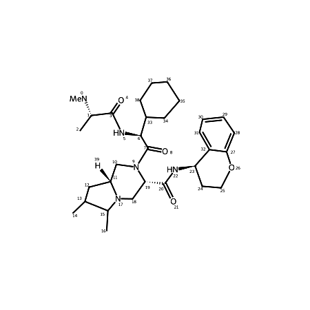 CN[C@@H](C)C(=O)N[C@H](C(=O)N1C[C@H]2CC(C)C(C)N2C[C@H]1C(=O)N[C@@H]1CCOc2ccccc21)C1CCCCC1